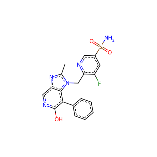 Cc1nc2cnc(O)c(-c3ccccc3)c2n1Cc1ncc(S(N)(=O)=O)cc1F